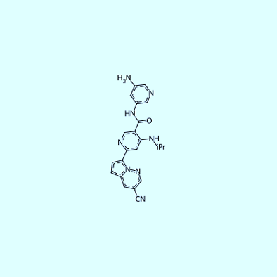 CC(C)Nc1cc(-c2ccc3cc(C#N)cnn23)ncc1C(=O)Nc1cncc(N)c1